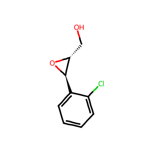 OC[C@H]1O[C@@H]1c1ccccc1Cl